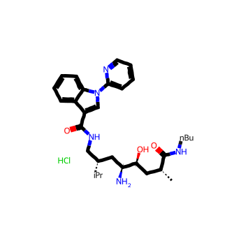 CCCCNC(=O)[C@H](C)C[C@H](O)[C@@H](N)C[C@@H](CNC(=O)c1cn(-c2ccccn2)c2ccccc12)C(C)C.Cl